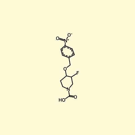 O=C(O)N1CCC(OCc2ccc([N+](=O)[O-])cc2)C(F)C1